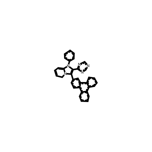 C1=CCN2C(=C1)N(c1ccccc1)C(c1ncncn1)=C2c1ccc2c3ccccc3c3ccccc3c2c1